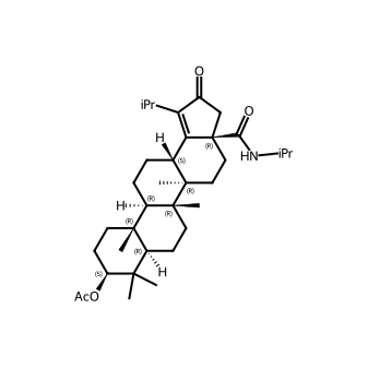 CC(=O)O[C@H]1CC[C@]2(C)[C@H]3CC[C@@H]4C5=C(C(C)C)C(=O)C[C@]5(C(=O)NC(C)C)CC[C@@]4(C)[C@]3(C)CC[C@H]2C1(C)C